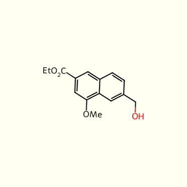 CCOC(=O)c1cc(OC)c2cc(CO)ccc2c1